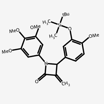 C=C1C(=O)N(c2cc(OC)c(OC)c(OC)c2)C1c1ccc(OC)c(O[Si](C)(C)C(C)(C)C)c1